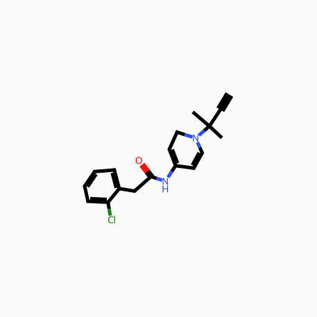 C#CC(C)(C)N1C=CC(NC(=O)Cc2ccccc2Cl)=CC1